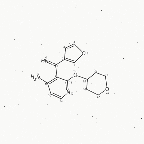 N=C(c1ccoc1)c1c(N)ccnc1OC1CCOCC1